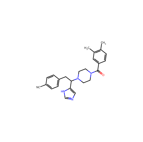 Cc1ccc(C(=O)N2CCN(C(Cc3ccc(C#N)cc3)c3cnc[nH]3)CC2)cc1C